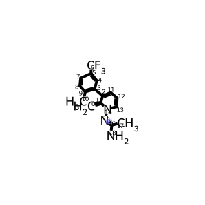 C=C1C(c2cc(C(F)(F)F)ccc2C)=CC=CN1/N=C(\C)N